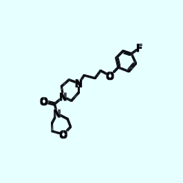 O=C(N1CCOCC1)N1CCN(CCCOc2ccc(F)cc2)CC1